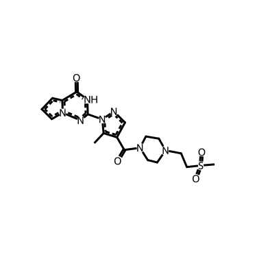 Cc1c(C(=O)N2CCN(CCS(C)(=O)=O)CC2)cnn1-c1nn2cccc2c(=O)[nH]1